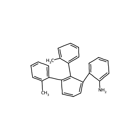 Cc1ccccc1-c1cccc(-c2ccccc2N)c1-c1ccccc1C